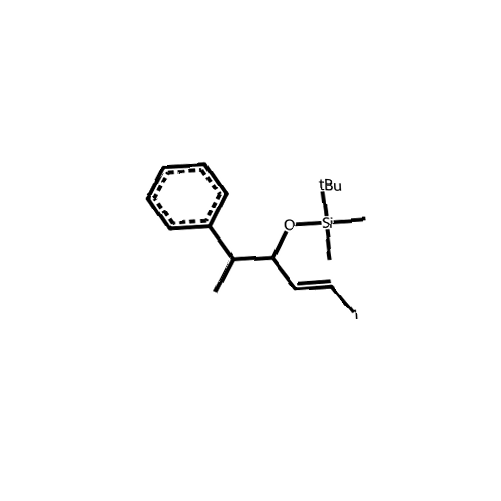 CC(c1ccccc1)C(C=CI)O[Si](C)(C)C(C)(C)C